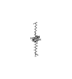 CC(C)CCCCCCCCCCC(CCCCCCCCCCC(C)C)(P(=O)(O)O)P(=O)(O)O